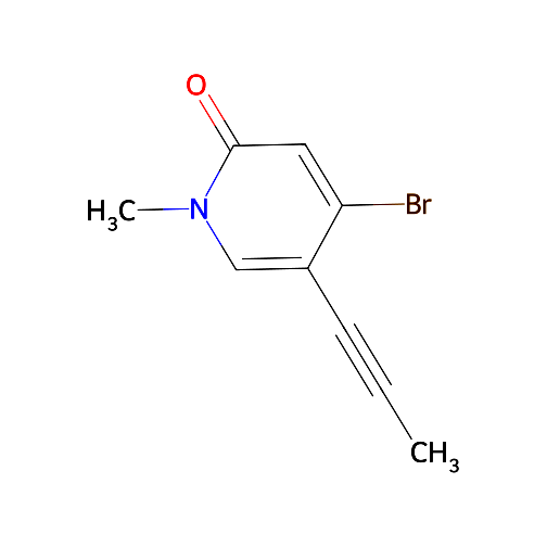 CC#Cc1cn(C)c(=O)cc1Br